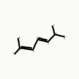 [CH2]C(C)C=CC=C(C)C